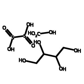 O=C(O)O.O=S(O)S(=O)O.OCC(O)C(O)CO